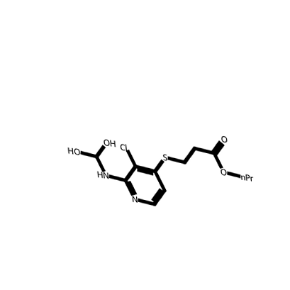 CCCOC(=O)CCSc1ccnc(NC(O)O)c1Cl